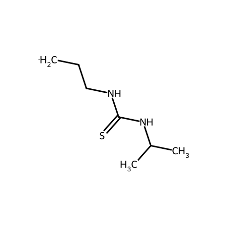 [CH2]CCNC(=S)NC(C)C